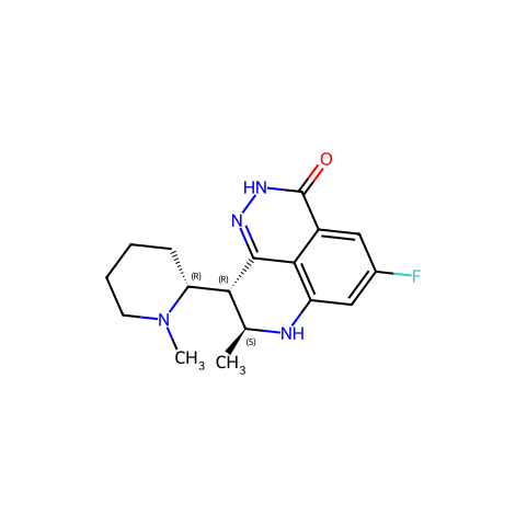 C[C@@H]1Nc2cc(F)cc3c(=O)[nH]nc(c23)[C@H]1[C@H]1CCCCN1C